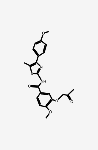 COc1ccc(-c2nc(NC(=O)c3ccc(OC)c(OCC(C)=O)c3)sc2C)cc1